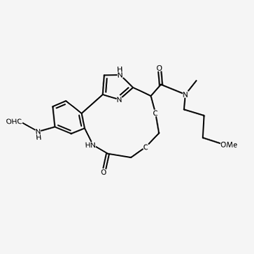 COCCCN(C)C(=O)C1CCCCC(=O)Nc2cc(NC=O)ccc2-c2c[nH]c1n2